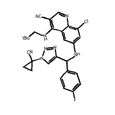 CC(C)(C)CNc1c(C#N)cnc2c(Cl)cc(NC(c3ccc(F)cc3)c3cn(C4(C#N)CC4)nn3)cc12